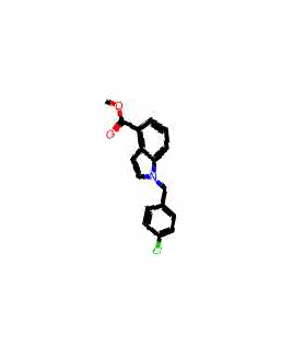 COC(=O)c1cccc2c1ccn2Cc1ccc(Cl)cc1